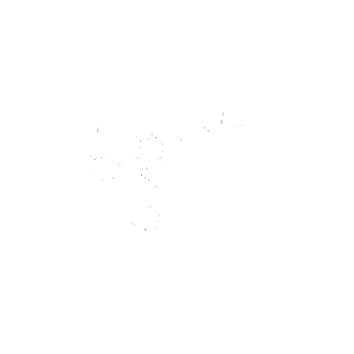 C=CC(=O)N1CCN(c2nc(=O)n(-c3c(C)ccnc3SC(C)C)c3nc(-c4c(O)cccc4F)c(F)cc23)C(C)C1